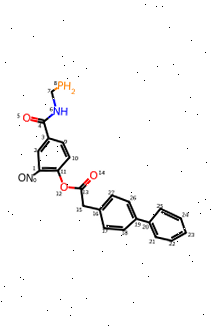 O=Nc1cc(C(=O)NCP)ccc1OC(=O)Cc1ccc(-c2ccccc2)cc1